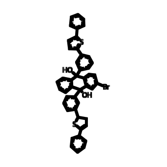 OC1(c2cccc(-c3ccc(-c4ccccc4)s3)c2)c2ccccc2C(O)(c2cccc(C3CC=C(c4ccccc4)S3)c2)c2cc(Br)ccc21